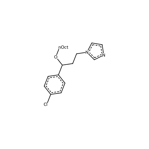 CCCCCCCCOC(CCn1ccnc1)c1ccc(Cl)cc1